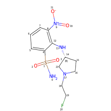 NS(=O)(=O)c1cccc([N+](=O)[O-])c1N[C@@H]1CCN(CCF)C1